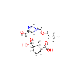 C[Si](C)(C)CCOCn1cnc(C=O)c1.Cc1c(C(=O)O)cccc1C(=O)O